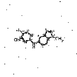 Cn1ncc2cc(Nc3ncc(I)c(Cl)n3)ccc21